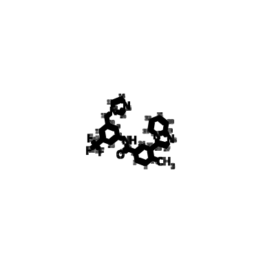 Cc1ccc(C(=O)Nc2cc(Cn3ccnc3)cc(C(F)(F)F)c2)cc1-c1cnc2ccccn12